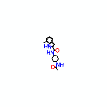 CC(=O)N[C@H]1CC[C@H](NC(=O)c2cc3cccc(C)c3[nH]2)CC1